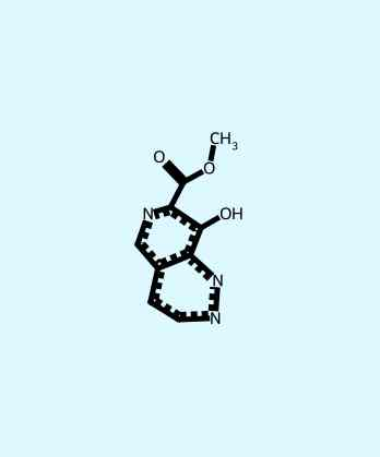 COC(=O)c1ncc2ccnnc2c1O